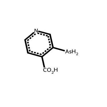 O=C(O)c1ccncc1[AsH2]